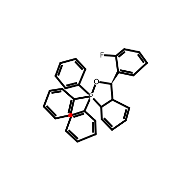 Fc1ccccc1[C@@H]1OP(c2ccccc2)(c2ccccc2)(c2ccccc2)C2C=CC=CC21